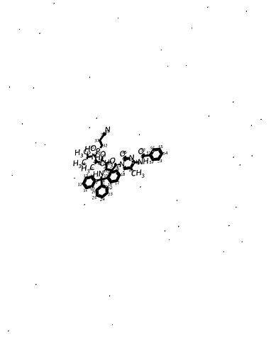 Cc1cn([C@H]2C[C@H](NC(c3ccccc3)(c3ccccc3)c3ccccc3)[C@@H](CO[PH](O)(CCC#N)N(C(C)C)C(C)C)O2)c(=O)nc1NC(=O)c1ccccc1